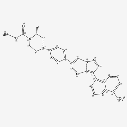 C[C@H]1CN(c2ccc(-c3cnc4c(-c5cccc6c(C(=O)O)cccc56)cnn4c3)cc2)CCN1C(=O)OC(C)(C)C